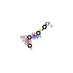 O=C(Nc1ccc(SCc2ccc(C(F)(F)F)cc2)cc1)Nc1ccc(O)c(NS(=O)(=O)c2ccc(F)cc2)c1